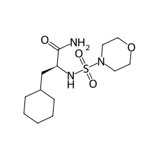 NC(=O)[C@H](CC1CCCCC1)NS(=O)(=O)N1CCOCC1